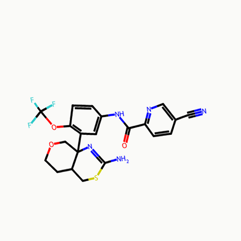 N#Cc1ccc(C(=O)Nc2ccc(OC(F)(F)F)c(C34COCCC3CSC(N)=N4)c2)nc1